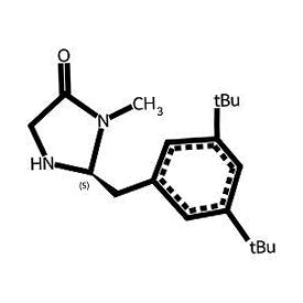 CN1C(=O)CN[C@@H]1Cc1cc(C(C)(C)C)cc(C(C)(C)C)c1